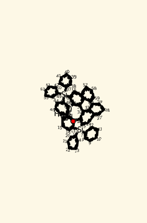 O=P1(O)Oc2c([Si](c3ccccc3)(c3ccccc3)c3ccccc3)cc3ccccc3c2-c2c(c([Si](c3ccccc3)(c3ccccc3)c3ccccc3)cc3ccccc23)O1